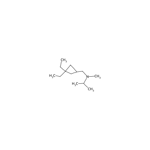 CCC1(CC)CC(CN(C)C(C)C)C1